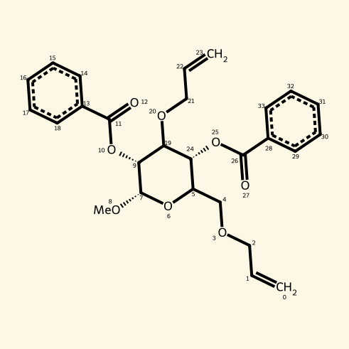 C=CCOCC1O[C@H](OC)[C@H](OC(=O)c2ccccc2)C(OCC=C)[C@@H]1OC(=O)c1ccccc1